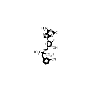 N#Cc1cccc(CC(OC[C@H]2O[C@@H](n3cnc4c(N)nc(Cl)nc43)[C@@H](F)[C@@H]2O)(C(=O)O)C(=O)O)c1